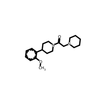 COc1ccccc1C1CCN(C(=O)CN2CCCCC2)CC1